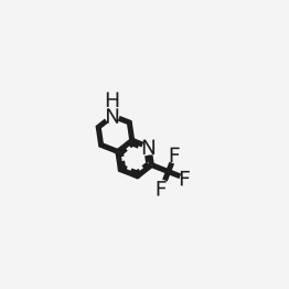 FC(F)(F)c1ccc2c(n1)CNCC2